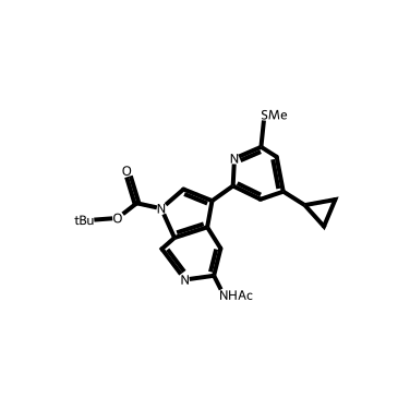 CSc1cc(C2CC2)cc(-c2cn(C(=O)OC(C)(C)C)c3cnc(NC(C)=O)cc23)n1